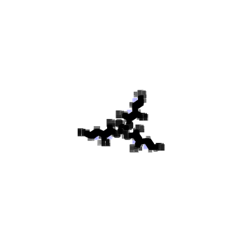 CC/C=C/C(CC)=C(\CC)OP(=O)(O/C(CC)=C(/C=C/CC)CC)O/C(CC)=C(/C=C/CC)CC